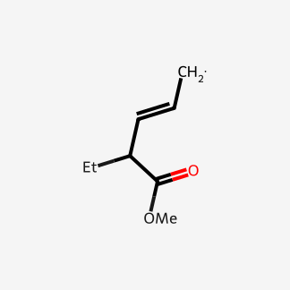 [CH2]/C=C/C(CC)C(=O)OC